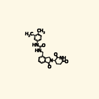 Cc1ccc(NC(=O)NCc2cccc3c2CN(C2CCC(=O)NC2=O)C3=O)cc1C